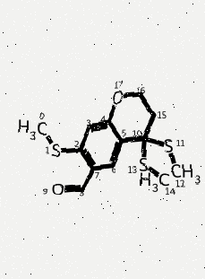 CSc1cc2c(cc1C=O)C(SC)(SC)CCO2